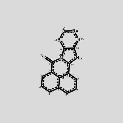 O=c1c2cccc3cccc(c32)c2nc3bbbbc3n12